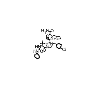 CC(C)(C)[C@H](NC(=O)Nc1ccccc1)C(=O)N1CCN(Cc2ccc(Cl)cc2)[C@@H](C(=O)NC(CC2CCC2)C(=O)C(N)=O)C1